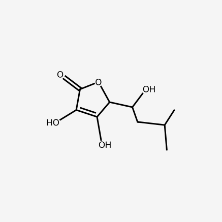 CC(C)CC(O)C1OC(=O)C(O)=C1O